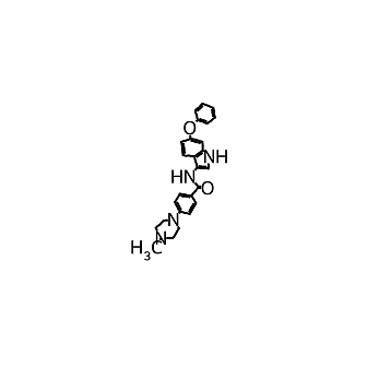 CN1CCN(c2ccc(C(=O)Nc3c[nH]c4cc(Oc5ccccc5)ccc34)cc2)CC1